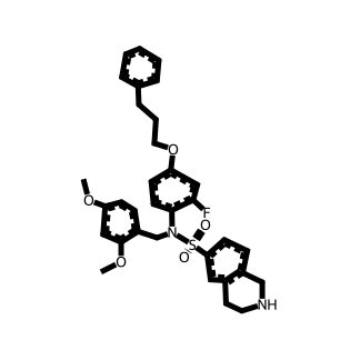 COc1ccc(CN(c2ccc(OCCCc3ccccc3)cc2F)S(=O)(=O)c2ccc3c(c2)CCNC3)c(OC)c1